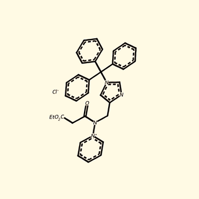 CCOC(=O)CC(=O)N(Cc1cn(C(c2ccccc2)(c2ccccc2)c2ccccc2)cn1)[n+]1ccccc1.[Cl-]